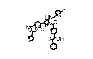 N#Cc1ccc(-c2cc(NCc3ccc(Cl)s3)n(C(=O)c3ccc(C(O)C(=O)c4ccccc4)cc3)n2)c(=O)n1CC(=O)c1ccsc1